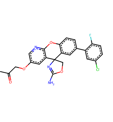 CC(=O)COc1cnc2c(c1)C1(COC(N)=N1)c1cc(-c3cc(Cl)ccc3F)ccc1O2